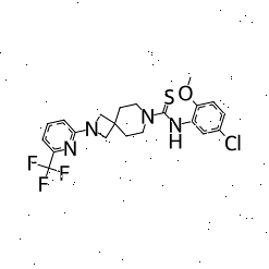 COc1ccc(Cl)cc1NC(=S)N1CCC2(CC1)CN(c1cccc(C(F)(F)F)n1)C2